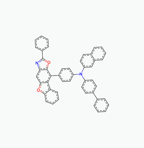 c1ccc(-c2ccc(N(c3ccc(-c4c5oc(-c6ccccc6)nc5cc5oc6ccccc6c45)cc3)c3ccc4ccccc4c3)cc2)cc1